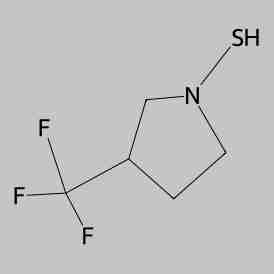 FC(F)(F)C1CCN(S)C1